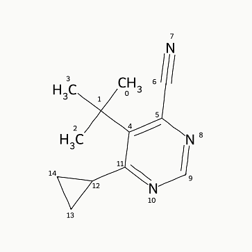 CC(C)(C)c1c(C#N)ncnc1C1CC1